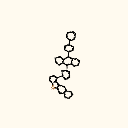 c1ccc(-c2ccc(-c3c4ccccc4c(-c4cccc(-c5cccc6sc7cc8ccccc8cc7c56)c4)c4ccccc34)cc2)cc1